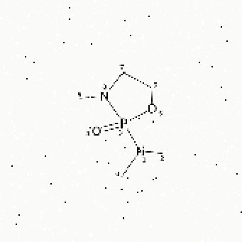 CN(C)P1(=O)OCCN1C